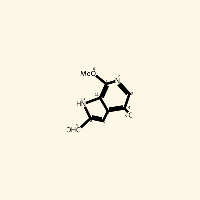 COc1ncc(Cl)c2cc(C=O)[nH]c12